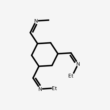 CC/N=C\C1CC(/C=N\C)CC(/C=N\CC)C1